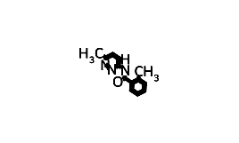 Cc1ccc(NC(=O)c2ccccc2C)nn1